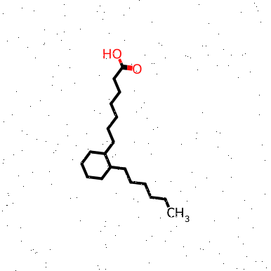 CCCCCCC1CCCCC1CCCCCCC(=O)O